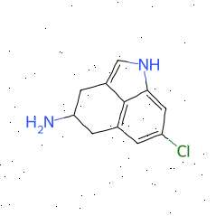 NC1Cc2c[nH]c3cc(Cl)cc(c23)C1